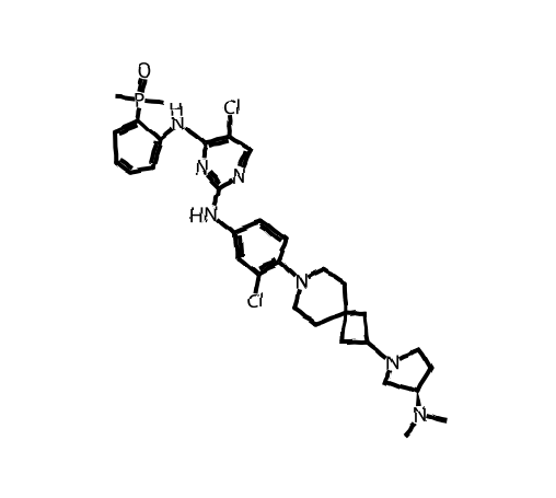 CN(C)[C@@H]1CCN(C2CC3(CCN(c4ccc(Nc5ncc(Cl)c(Nc6ccccc6P(C)(C)=O)n5)cc4Cl)CC3)C2)C1